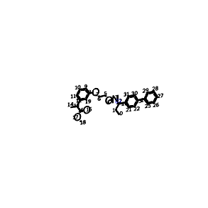 CC/C(=N\OCCOc1cccc(C(C)C(=O)OC)c1)c1ccc(-c2ccccc2)cc1